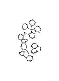 c1ccc(C2(c3ccccc3)c3ccccc3N(c3cccc4c3sc3c5c(ccc34)C3(c4ccccc4-c4ccccc43)c3ccc4c6c(ccc-5c36)CC4)c3ccccc32)cc1